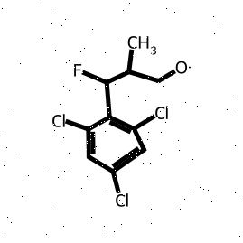 CC(C[O])C(F)c1c(Cl)cc(Cl)cc1Cl